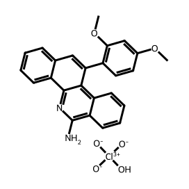 COc1ccc(-c2cc3ccccc3c3nc(N)c4ccccc4c23)c(OC)c1.[O-][Cl+3]([O-])([O-])O